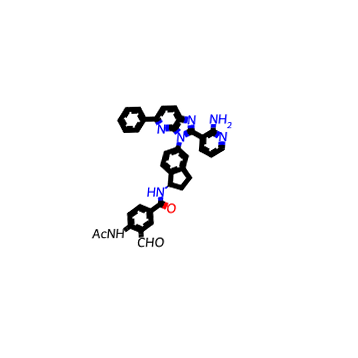 CC(=O)Nc1ccc(C(=O)N[C@H]2CCc3cc(-n4c(-c5cccnc5N)nc5ccc(-c6ccccc6)nc54)ccc32)cc1C=O